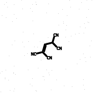 N#CC(C#N)=CC(C#N)C#N